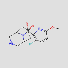 COc1ccc(F)c(C(=O)N2C3CNCC2CC(=O)C3)n1